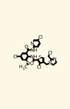 COc1cc(Cl)cc(C(=O)Nc2ccc(Cl)cn2)c1NC(=O)c1scc(CN2CCN=C2CCl)c1Cl